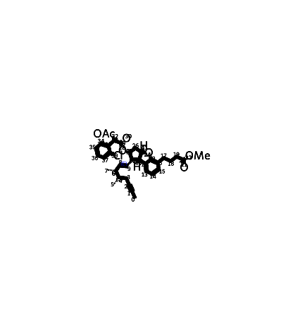 CC#CC[C@H](C)[C@H](C)/C=C/[C@@H]1[C@H]2c3cccc(CCCC(=O)OC)c3O[C@H]2C[C@H]1OC(=O)[C@H](OC(C)=O)c1ccccc1Cl